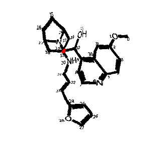 COc1ccc2nccc(C(O)CN3C4CCC3CC(NC/C=C/c3ccco3)C4)c2c1